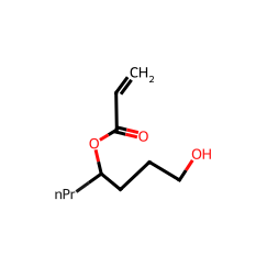 C=CC(=O)OC(CCC)CCCO